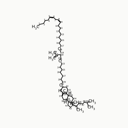 CCCCC/C=C\C/C=C\CCCCCCCCOC[C@H](COCCCCCCCO[C@H]1CC[C@@]2(C)C(=CC[C@H]3[C@@H]4CC[C@H]([C@H](C)CCCC(C)C)[C@@]4(C)CC[C@@H]32)C1)N(C)C